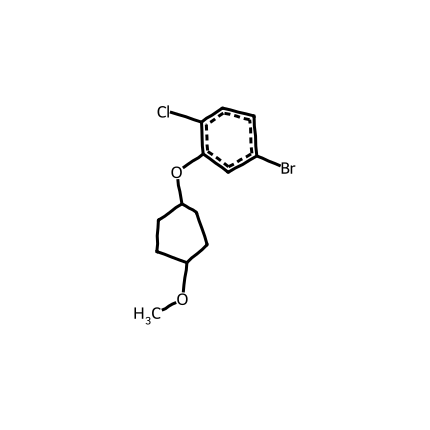 COC1CCC(Oc2cc(Br)ccc2Cl)CC1